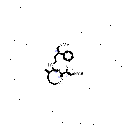 C=C1CCCN/N=C(/C(N)=C/NC)\N=C/1NCC/C(=C/NC)c1ccccc1